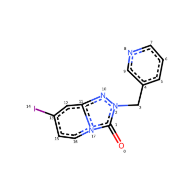 O=c1n(Cc2cccnc2)nc2cc(I)ccn12